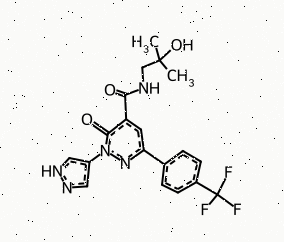 CC(C)(O)CNC(=O)c1cc(-c2ccc(C(F)(F)F)cc2)nn(-c2cn[nH]c2)c1=O